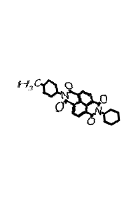 CC1CCC(N2C(=O)c3ccc4c5c(ccc(c35)C2=O)C(=O)N(C2CCCCC2)C4=O)CC1